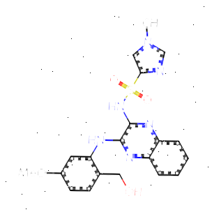 COc1ccc(CO)c(Nc2nc3ccccc3nc2NS(=O)(=O)c2cn(C)cn2)c1